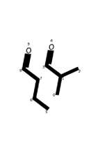 CC(C)C=O.CCCC=O